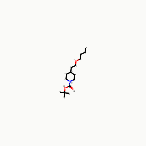 CCCCOCCC1CCN(C(=O)OC(C)(C)C)CC1